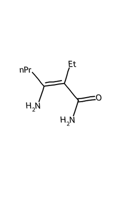 CCC/C(N)=C(\CC)C(N)=O